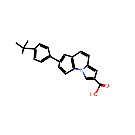 CC(C)(C)c1ccc(-c2ccc3c(ccc4cc(C(=O)O)cn43)c2)cc1